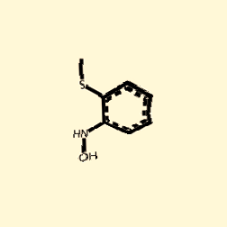 CSc1ccccc1NO